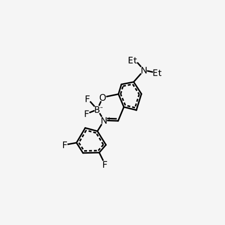 CCN(CC)c1ccc2c(c1)O[B-](F)(F)[N+](c1cc(F)cc(F)c1)=C2